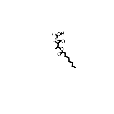 CCCCCCCC(=O)OC(C)C1[CH]N(C(=O)O)C1=O